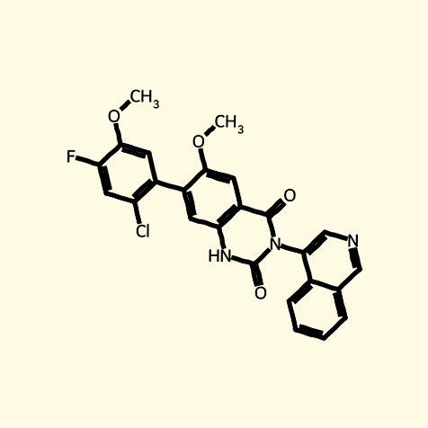 COc1cc(-c2cc3[nH]c(=O)n(-c4cncc5ccccc45)c(=O)c3cc2OC)c(Cl)cc1F